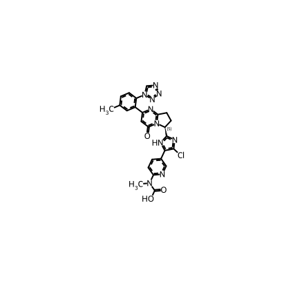 Cc1ccc(-n2cnnn2)c(-c2cc(=O)n3c(n2)CC[C@H]3c2nc(Cl)c(-c3ccc(N(C)C(=O)O)nc3)[nH]2)c1